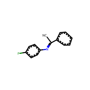 N#C/C(=N\c1ccc(F)cc1)c1ccccc1